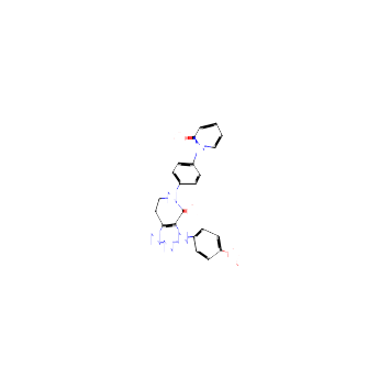 COc1ccc(-n2nnc3c2C(=O)N(c2ccc(-n4ccccc4=O)cc2)CC3)cc1